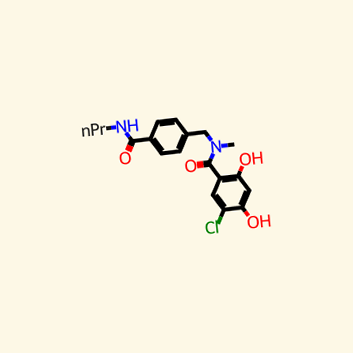 CCCNC(=O)c1ccc(CN(C)C(=O)c2cc(Cl)c(O)cc2O)cc1